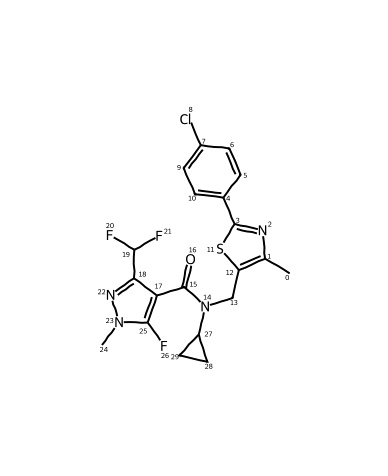 Cc1nc(-c2ccc(Cl)cc2)sc1CN(C(=O)c1c(C(F)F)nn(C)c1F)C1CC1